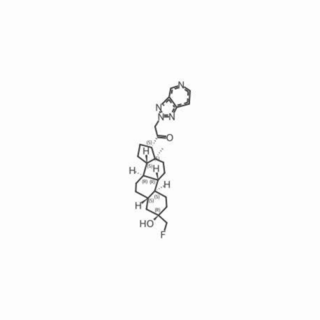 C[C@]12CC[C@H]3[C@@H](CC[C@H]4C[C@@](O)(CF)CC[C@@H]43)[C@@H]1CC[C@@H]2C(=O)Cn1nc2ccncc2n1